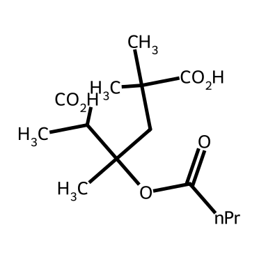 CCCC(=O)OC(C)(CC(C)(C)C(=O)O)C(C)C(=O)O